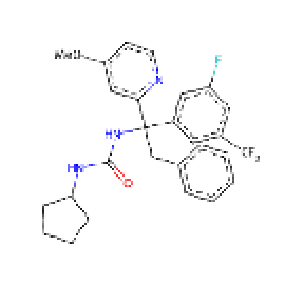 COc1ccnc(C(Cc2ccccc2)(NC(=O)NC2CCCC2)c2cc(F)cc(C(F)(F)F)c2)c1